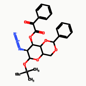 CC(C)(C)[Si](C)(C)OC1OC2COC(c3ccccc3)OC2[C@H](OC(=O)C(=O)c2ccccc2)[C@@H]1N=[N+]=[N-]